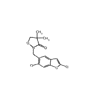 CC1(C)CON(Cc2cc3cc(Cl)oc3cc2Cl)C1=O